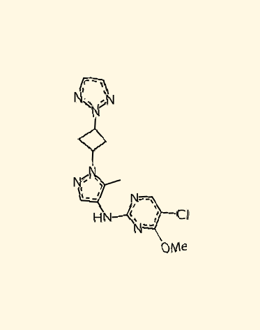 COc1nc(Nc2cnn(C3CC(n4nccn4)C3)c2C)ncc1Cl